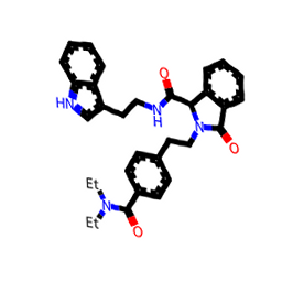 CCN(CC)C(=O)c1ccc(CCN2C(=O)c3ccccc3C2C(=O)NCCc2c[nH]c3ccccc23)cc1